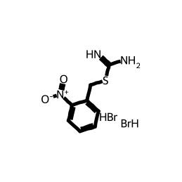 Br.Br.N=C(N)SCc1ccccc1[N+](=O)[O-]